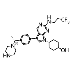 C[C@H](c1ccc(-c2cn([C@H]3CC[C@H](O)CC3)c3nc(NCCC(F)(F)F)ncc23)cc1)N1CCNCC1